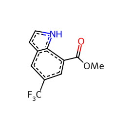 COC(=O)c1cc(C(F)(F)F)cc2cc[nH]c12